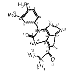 Bc1ccc(N2C(=O)Nc3c(C(=O)N(C)C)sc4ncnc2c34)cc1OC